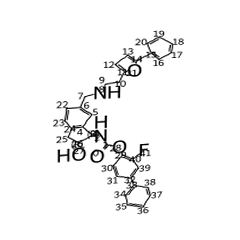 O=C(N[C@@H]1c2cc(CNCCc3ccc(-c4ccccc4)o3)ccc2C[C@H]1O)Oc1ccc(-c2ccccc2)cc1F